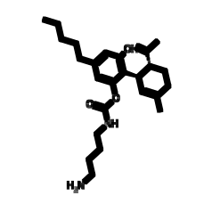 C=C(C)[C@@H]1CCC(C)=C[C@H]1c1c(O)cc(CCCCC)cc1OC(=O)NCCCCN